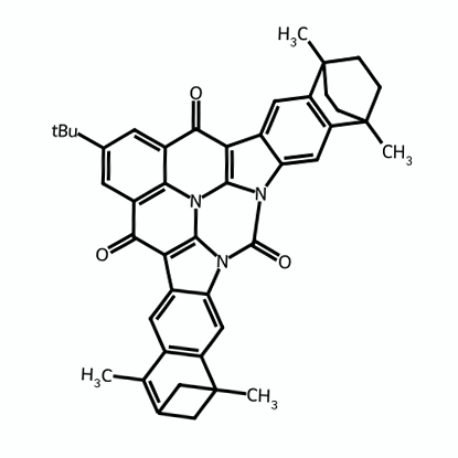 CC1=C2CC(C)(C2)c2cc3c(cc21)c1c(=O)c2cc(C(C)(C)C)cc4c(=O)c5c6cc7c(cc6n6c(=O)n3c1n(c24)c56)C1(C)CCC7(C)CC1